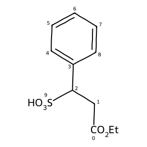 CCOC(=O)CC(c1ccccc1)S(=O)(=O)O